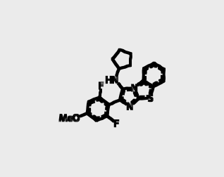 COc1cc(F)c(-c2nc3sc4ccccc4n3c2NC2CCCC2)c(F)c1